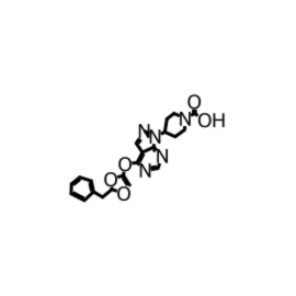 O=C(O)N1CCC(n2ncc3c(OC4=COC(Cc5ccccc5)O4)ncnc32)CC1